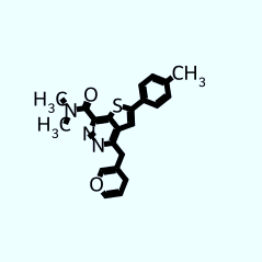 Cc1ccc(-c2cc3c(CC4=COC=CC4)nnc(C(=O)N(C)C)c3s2)cc1